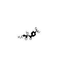 C=CC(=O)NC(=O)c1ccc([N+](=O)[O-])cc1